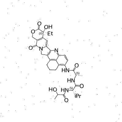 CC[C@@]1(O)C(=O)OCc2c1cc1n(c2=O)Cc2c-1nc1ccc(NC(=O)[C@H](C)NC(=O)[C@@H](NC(=O)C(C)O)C(C)C)c3c1c2CCC3